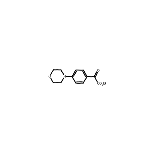 CCOC(=O)C(=O)c1ccc(N2CCOCC2)cc1